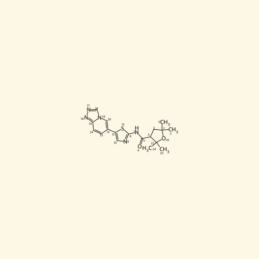 CC1(C)CC(C(=O)Nc2ncc(-c3ccc4nncn4c3)s2)C(C)(C)O1